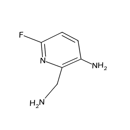 NCc1nc(F)ccc1N